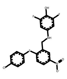 O=[N+]([O-])c1ccc(Sc2ccc(Cl)cc2)c(CNc2cc(F)c(O)c(F)c2)c1